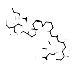 CCCNC(=O)O[C@@H]1C=C[C@]2(O[C@H]([C@@H](CC)C(=O)[C@@H](C)[C@@H](O)[C@H](C)[C@@H]3O[C@@H]([C@@H](CC)C(=O)O)CC[C@@H]3C)[C@@H](C)C[C@H]2C)O[C@@]12CC[C@@](C)([C@H]1CC[C@](O)(CC)[C@H](C)O1)O2